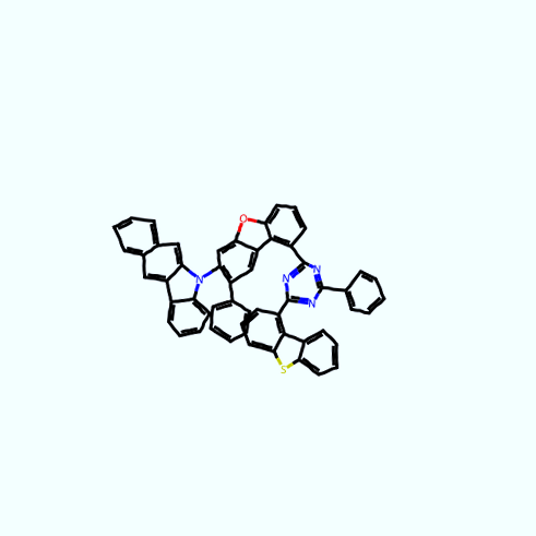 c1ccc(-c2nc(-c3cccc4oc5cc(-n6c7ccccc7c7cc8ccccc8cc76)c(-c6ccccc6)cc5c34)nc(-c3cccc4sc5ccccc5c34)n2)cc1